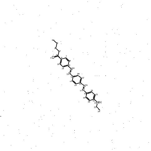 CCCCC(=O)c1ccc(N=Nc2ccc(N=Nc3ccc(NCC)cc3)cc2)cc1